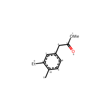 CCc1cc(CC(=O)OC)ccc1C